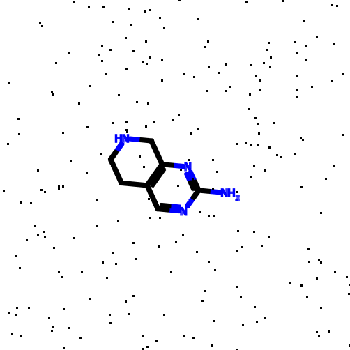 Nc1ncc2c(n1)CNCC2